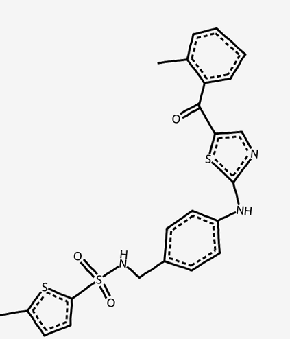 Cc1ccccc1C(=O)c1cnc(Nc2ccc(CNS(=O)(=O)c3ccc(Cl)s3)cc2)s1